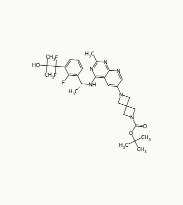 Cc1nc(N[C@H](C)c2cccc(C(F)(F)C(C)(C)O)c2F)c2cc(N3CC4(CN(C(=O)OC(C)(C)C)C4)C3)cnc2n1